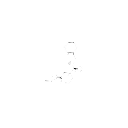 CCOC(=O)CC(CC)C(=O)OCC1CCCCC1